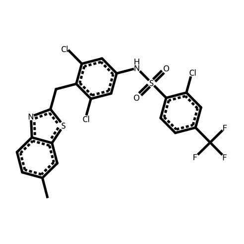 Cc1ccc2nc(Cc3c(Cl)cc(NS(=O)(=O)c4ccc(C(F)(F)F)cc4Cl)cc3Cl)sc2c1